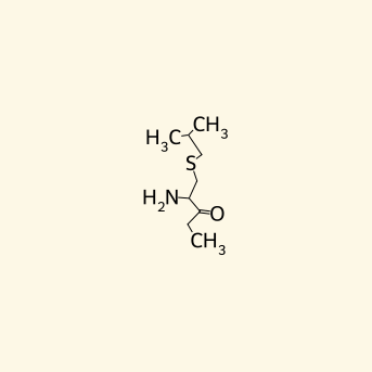 CCC(=O)C(N)CSCC(C)C